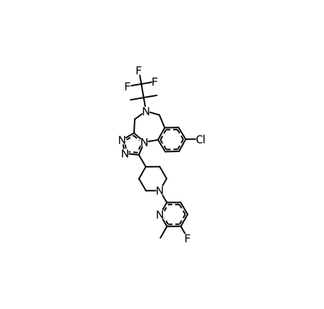 Cc1nc(N2CCC(c3nnc4n3-c3ccc(Cl)cc3CN(C(C)(C)C(F)(F)F)C4)CC2)ccc1F